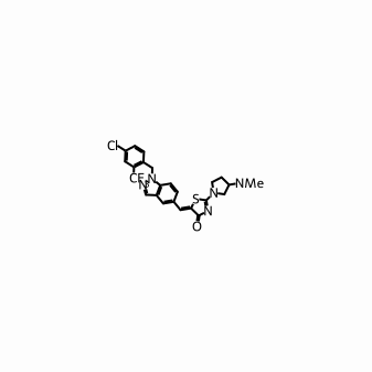 CNC1CCN(C2=NC(=O)/C(=C/c3ccc4c(cnn4Cc4ccc(Cl)cc4C(F)(F)F)c3)S2)C1